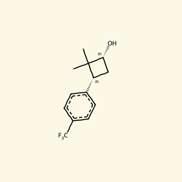 CC1(C)[C@H](O)C[C@@H]1c1ccc(C(F)(F)F)cc1